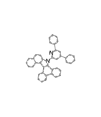 c1ccc(-c2cc(-c3ccccc3)nc(-n3c4ccc5ccccc5c4c4c5ccccc5c5ccccc5c43)c2)cc1